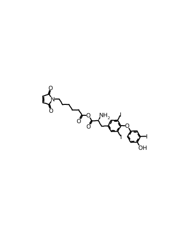 N[C@@H](Cc1cc(I)c(Oc2ccc(O)c(I)c2)c(I)c1)C(=O)OC(=O)CCCCCN1C(=O)C=CC1=O